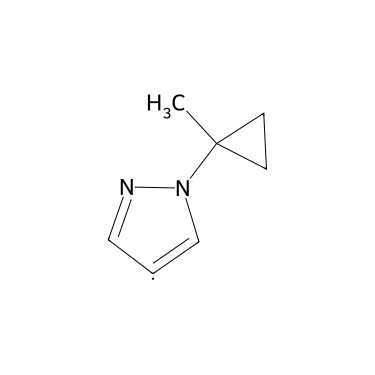 CC1(n2c[c]cn2)CC1